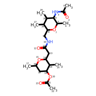 CC(=O)NC1C(C)OC(CNC(=O)CC2OC(C)CC(OC(C)=O)C2C)C(C)C1C